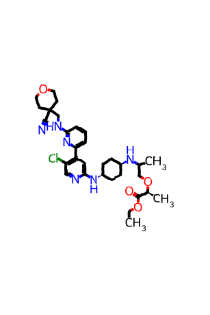 CCOC(=O)[C@H](C)OCC(C)N[C@H]1CC[C@H](Nc2cc(-c3cccc(NCC4(C#N)CCOCC4)n3)c(Cl)cn2)CC1